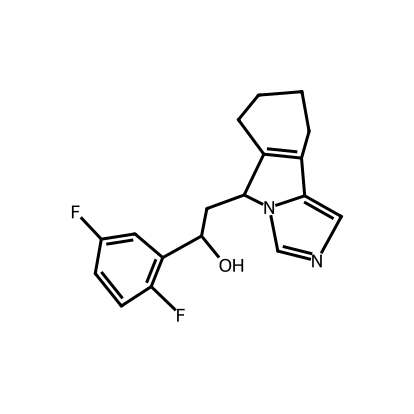 OC(CC1C2=C(CCCC2)c2cncn21)c1cc(F)ccc1F